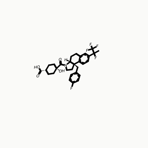 CC(F)(c1ccc2c(c1)CC[C@H]1N(C(=O)[C@]3(O)CC[C@@H](C(=O)O)CC3)CC[C@@]21Cc1ccc(F)cc1)C(F)(F)F